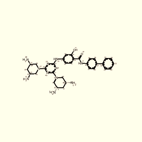 N[C@@H]1C[C@H](N)CN(c2nc(Nc3ccc(C(=O)Nc4ccc(-c5ccccc5)cc4)c(O)c3)nc(N3C[C@H](N)C[C@H](N)C3)n2)C1